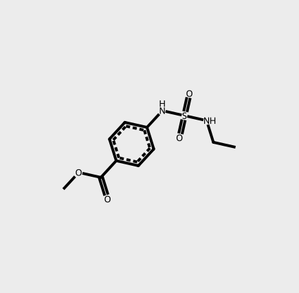 CCNS(=O)(=O)Nc1ccc(C(=O)OC)cc1